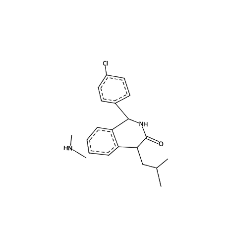 CC(C)CC1C(=O)NC(c2ccc(Cl)cc2)c2ccccc21.CNC